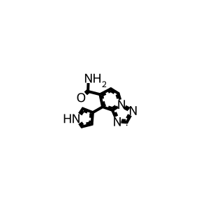 NC(=O)c1ccn2n[c]nc2c1-c1cc[nH]c1